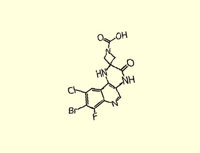 O=C(O)N1CC2(C1)Nc1c(cnc3c(F)c(Br)c(Cl)cc13)NC2=O